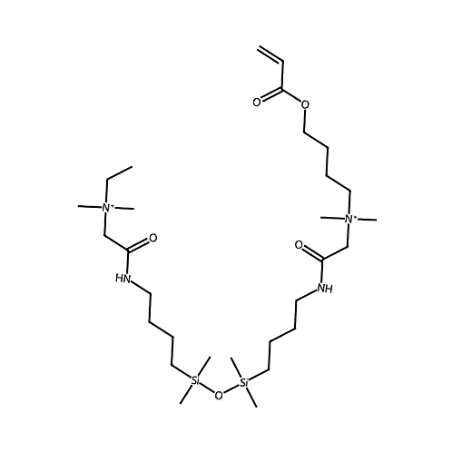 C=CC(=O)OCCCC[N+](C)(C)CC(=O)NCCCC[Si](C)(C)O[Si](C)(C)CCCCNC(=O)C[N+](C)(C)CC